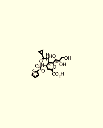 O=C(O)C1=C[C@H](NS(=O)(=O)c2cccs2)[C@@H](NC(=O)C2CC2)[C@H]([C@H](O)[C@H](O)CO)O1